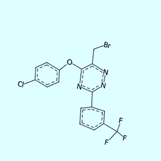 FC(F)(F)c1cccc(-c2nnc(CBr)c(Oc3ccc(Cl)cc3)n2)c1